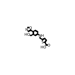 O=C(O)c1ccc(CNc2ccc(-c3cnco3)c(CO)c2)s1